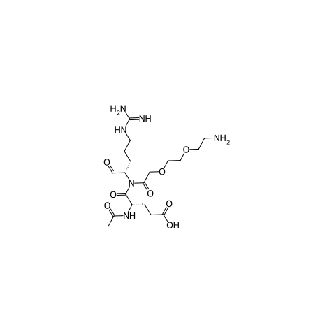 CC(=O)N[C@@H](CCC(=O)O)C(=O)N(C(=O)COCCOCCN)[C@H]([C]=O)CCCNC(=N)N